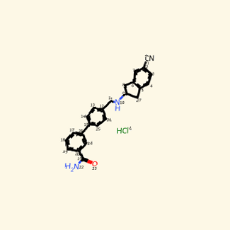 Cl.N#Cc1ccc2c(c1)CC(NCc1ccc(-c3cccc(C(N)=O)c3)cc1)C2